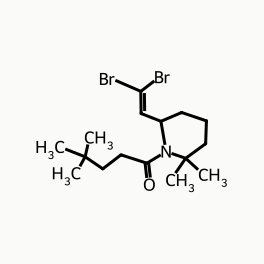 CC(C)(C)CCC(=O)N1C(C=C(Br)Br)CCCC1(C)C